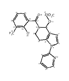 CCOC(=O)OC1c2ncn(-c3ccccn3)c2CCN1C(=O)c1cccc(C(F)(F)F)c1Cl